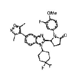 COc1ccc(N2C(=O)CCC2c2nc3cc(-c4c(C)noc4C)ccc3n2C2CCC(F)(F)CC2)cc1F